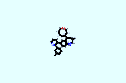 Cc1cccc(-c2ncccc2-c2ccc3c(c2)C(C2CCCCOCC2)=CC(C)C=N3)c1